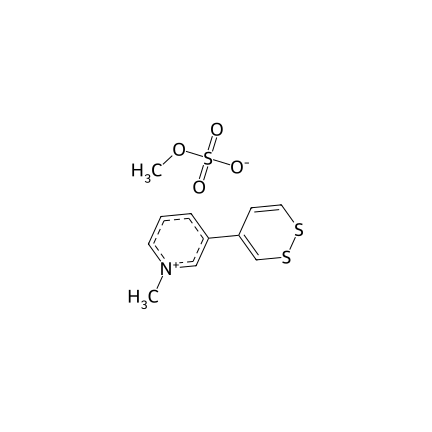 COS(=O)(=O)[O-].C[n+]1cccc(C2=CSSC=C2)c1